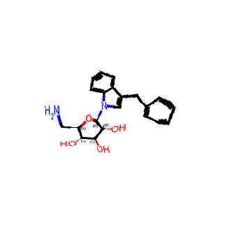 NC[C@H]1O[C@@H](n2cc(Cc3ccccc3)c3ccccc32)[C@H](O)[C@@H](O)[C@@H]1O